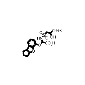 CCCCCCC(O)CS(=O)(=O)NC(Oc1cccc2c1OC1CCCC21)C(=O)O